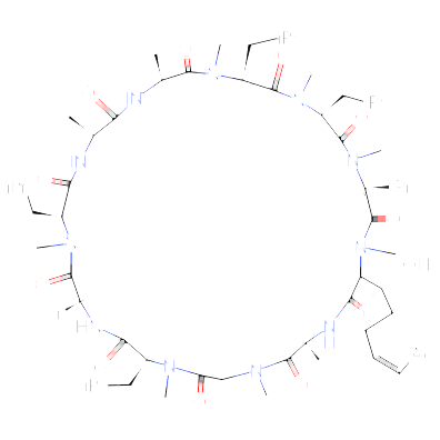 CC[C@@H]1NC(=O)C([C@H](O)[C@H](C)C/C=C\C(C)=O)N(C)C(=O)[C@H](C(C)C)N(C)C(=O)[C@H](CC(C)C)N(C)C(=O)[C@H](CC(C)C)N(C)C(=O)[C@H](C)NC(=O)[C@H](C)NC(=O)[C@H](CC(C)C)N(C)C(=O)[C@H](C(C)C)NC(=O)[C@H](CC(C)C)N(C)C(=O)CN(C)C1=O